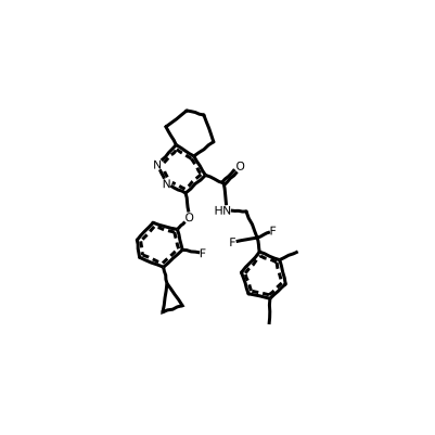 Cc1ccc(C(F)(F)CNC(=O)c2c(Oc3cccc(C4CC4)c3F)nnc3c2CCCC3)c(C)c1